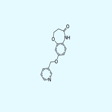 O=C1CCOc2cc(OCc3cccnc3)ccc2N1